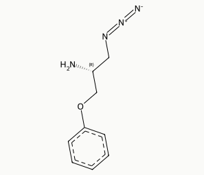 [N-]=[N+]=NC[C@@H](N)COc1ccccc1